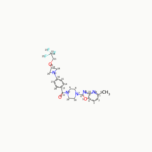 Cc1ccc2oc(N3CCN(C(=O)c4ccc(N5CC(OCC(F)(F)F)C5)cc4)CC3)nc2n1